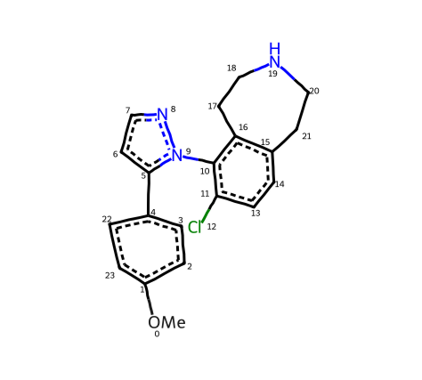 COc1ccc(-c2ccnn2-c2c(Cl)ccc3c2CCNCC3)cc1